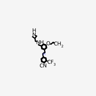 C=CCOc1cc(/C=C/c2ccc(C#N)c(C(F)(F)F)c2)cc(CNCC2CNC2)c1